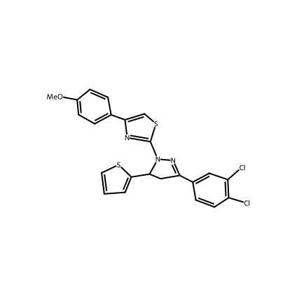 COc1ccc(-c2csc(N3N=C(c4ccc(Cl)c(Cl)c4)CC3c3cccs3)n2)cc1